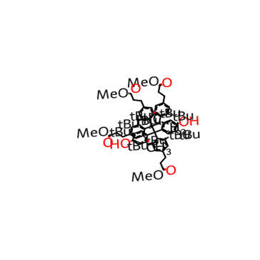 COC(=O)CCc1cc(C(C)(C)C)c(C(C)C(c2c(C(C)(C)C)cc(CCC(=O)OC)cc2C(C)(C)C)(c2c(C(C)(C)C)cc(CCC(=O)OC)cc2C(C)(C)C)C(c2cc(C(C)(C)C)c(O)cc2C)(c2cc(C(C)(C)C)c(O)cc2C)c2c(C(C)(C)C)cc(CCC(=O)OC)cc2C(C)(C)C)c(C(C)(C)C)c1